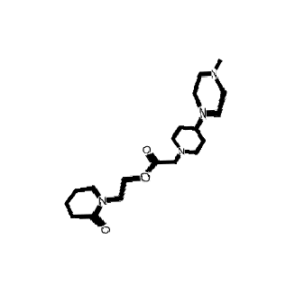 CN1CCN(C2CCN(CC(=O)OCCN3CCCCC3=O)CC2)CC1